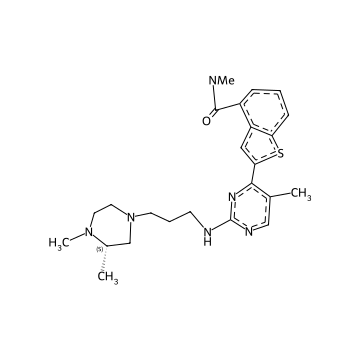 CNC(=O)c1cccc2sc(-c3nc(NCCCN4CCN(C)[C@@H](C)C4)ncc3C)cc12